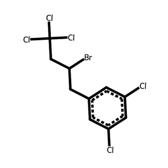 Clc1cc(Cl)cc(CC(Br)CC(Cl)(Cl)Cl)c1